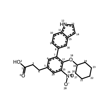 O=C(O)CCc1cc(-c2ccc3[nH]ccc3c2)c(OC2CCCCC2)c([N+](=O)[O-])c1